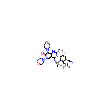 Cc1nc(N[C@H](C)c2cccc(C#N)c2C)c2cn(N3CCOCC3)c(=O)c(N3CCOCC3)c2n1